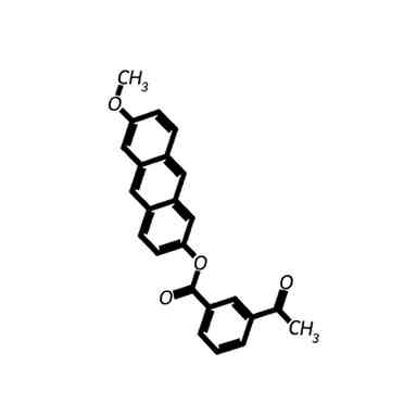 COc1ccc2cc3cc(OC(=O)c4cccc(C(C)=O)c4)ccc3cc2c1